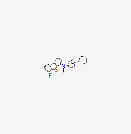 Fc1cccc2c1sc1c(N(I)c3ccc(C4CCCCC4)cc3)cccc12